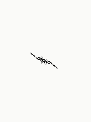 CCCCCCCCCC1CCC(C(=O)Oc2ccc(OC(=O)C3CCC(CCCCCCCCC)CC3)c(F)c2F)CC1